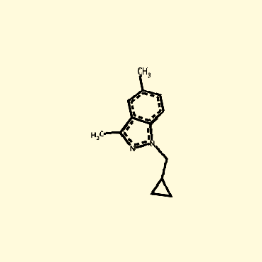 Cc1ccc2c(c1)c(C)nn2CC1CC1